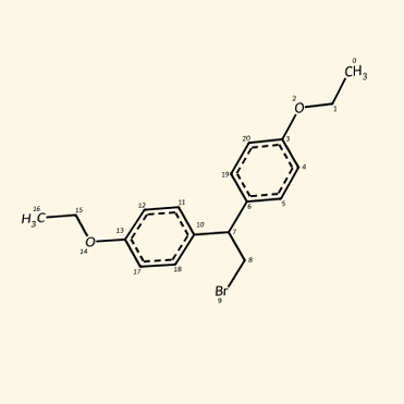 CCOc1ccc(C(CBr)c2ccc(OCC)cc2)cc1